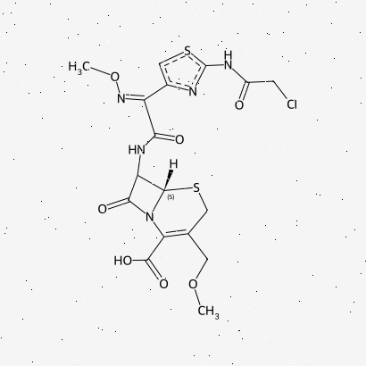 COCC1=C(C(=O)O)N2C(=O)C(NC(=O)C(=NOC)c3csc(NC(=O)CCl)n3)[C@@H]2SC1